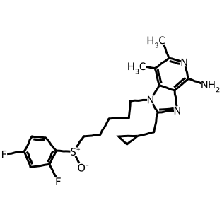 Cc1nc(N)c2nc(CC3CC3)n(CCCCC[S+]([O-])c3ccc(F)cc3F)c2c1C